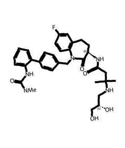 CNC(=O)Nc1ccccc1-c1ccc(CN2C(=O)[C@H](NC(=O)CC(C)(C)NC[C@H](O)CO)CCc3cc(F)ccc32)cc1